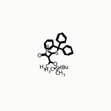 CC(O[Si](C)(C)C(C)(C)C)C1C(=O)NC1SC(c1ccccc1)(c1ccccc1)c1ccccc1